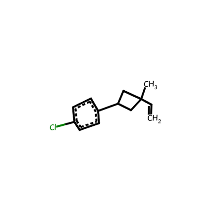 C=CC1(C)CC(c2ccc(Cl)cc2)C1